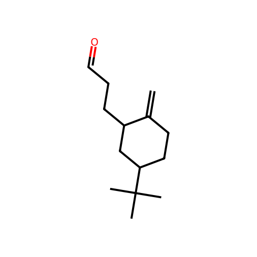 C=C1CCC(C(C)(C)C)CC1CCC=O